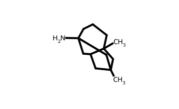 CC12CC3CC(N)(CCCC3(C)C1)C2